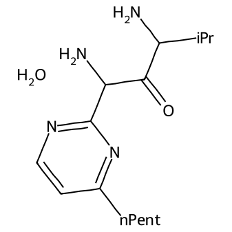 CCCCCc1ccnc(C(N)C(=O)C(N)C(C)C)n1.O